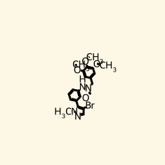 COc1cc(CN(C=O)Nc2cccc(-c3c(Br)cnn3C)c2)cc(OC)c1OC